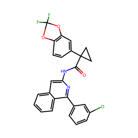 O=C(Nc1cc2ccccc2c(-c2cccc(Cl)c2)n1)C1(c2ccc3c(c2)OC(F)(F)O3)CC1